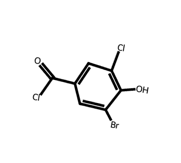 O=C(Cl)c1cc(Cl)c(O)c(Br)c1